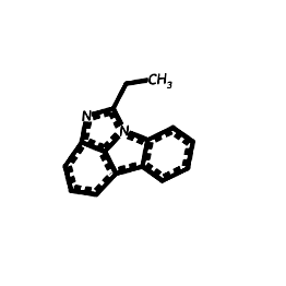 CCc1nc2cccc3c4ccccc4n1c23